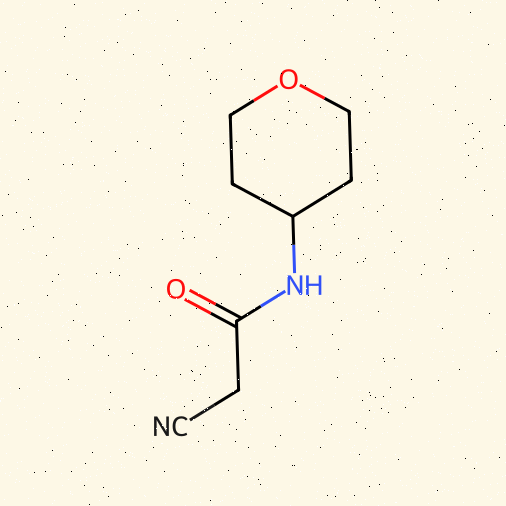 N#CCC(=O)NC1CCOCC1